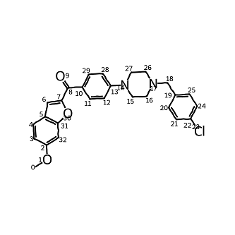 COc1ccc2cc(C(=O)c3ccc(N4CCN(Cc5ccc(Cl)cc5)CC4)cc3)oc2c1